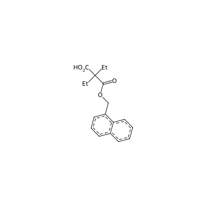 CCC(CC)(C(=O)O)C(=O)OCc1cccc2ccccc12